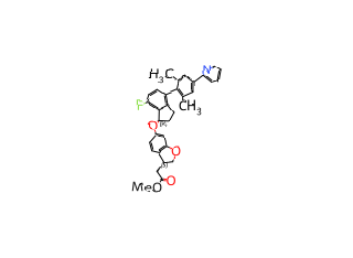 COC(=O)C[C@@H]1COc2cc(O[C@@H]3CCc4c(-c5c(C)cc(-c6ccccn6)cc5C)ccc(F)c43)ccc21